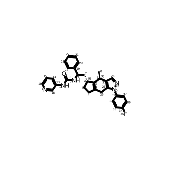 C[C@@H]1C2=C(CC[C@@H]2CC(NC(=O)Nc2cccnc2)c2ccccc2)Cc2c1cnn2-c1ccc(F)cc1